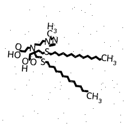 CCCCCCCCCCCCCCSCCC(CCSCCCCCCCCCCCCCC)(CC(=O)O)N(CCCn1ccnc1C)CCC(=O)O